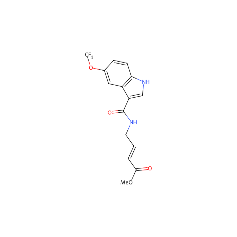 COC(=O)/C=C/CNC(=O)c1c[nH]c2ccc(OC(F)(F)F)cc12